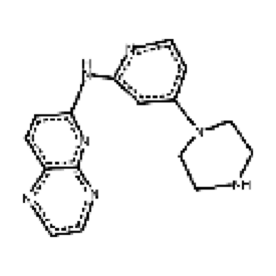 c1cc(N2CCNCC2)cc(Nc2ccc3nccnc3n2)n1